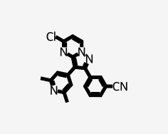 Cc1cc(-c2c(-c3cccc(C#N)c3)nn3ccc(Cl)nc23)cc(C)n1